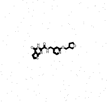 O=C(NCc1ccnc(OCC2CCOC2)c1)c1nc2sccc2c(=O)[nH]1